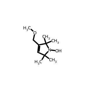 COCC1=CC(C)(C)N(O)C1(C)C